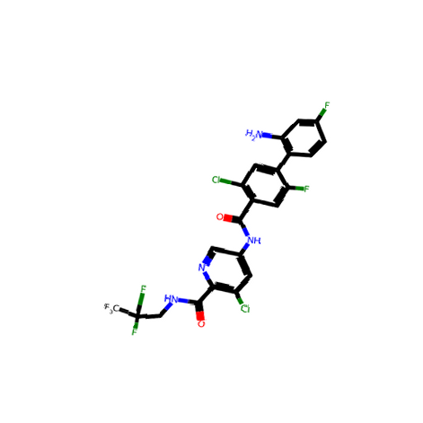 Nc1cc(F)ccc1-c1cc(Cl)c(C(=O)Nc2cnc(C(=O)NCC(F)(F)C(F)(F)F)c(Cl)c2)cc1F